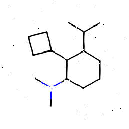 CC(C)C1CCCC(N(C)C)C1C1CCC1